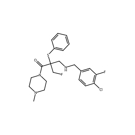 CN1CCN(C(=O)C(CF)(CNCc2ccc(Cl)c(F)c2)Sc2ccccc2)CC1